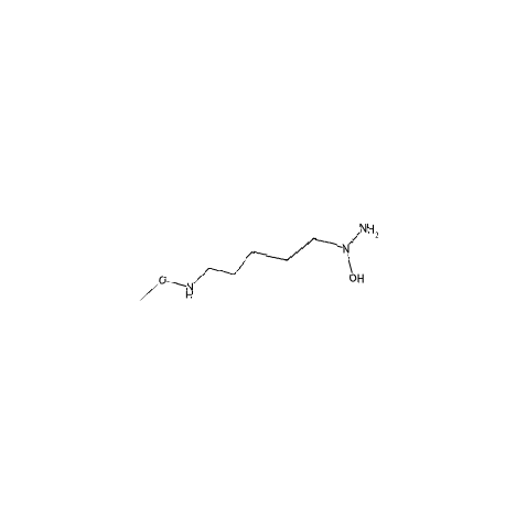 CONCCCCCN(N)O